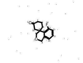 O=C1CCCC2(COCc3cccc(F)c32)C1